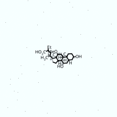 CCC(C[C@@H](C)[C@H]1CC[C@H]2[C@@H]3[C@@H](O)C[C@@H]4C[C@H](O)CC[C@]4(C)[C@H]3C[C@H](OC)[C@]12C)C(=O)O